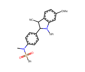 CCCN1c2cc(OC)ccc2C(C#N)C1c1ccc(N(C)S(=O)(=O)C(C)C)cc1